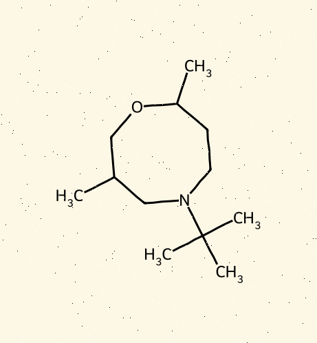 CC1COC(C)CCN(C(C)(C)C)C1